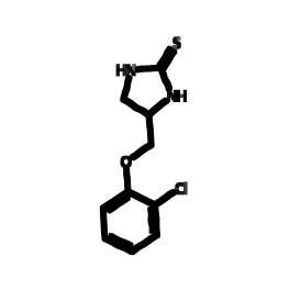 S=C1NCC(COc2ccccc2Cl)N1